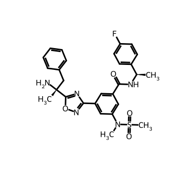 C[C@@H](NC(=O)c1cc(-c2noc([C@](C)(N)Cc3ccccc3)n2)cc(N(C)S(C)(=O)=O)c1)c1ccc(F)cc1